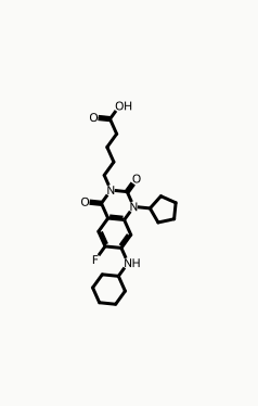 O=C(O)CCCCn1c(=O)c2cc(F)c(NC3CCCCC3)cc2n(C2CCCC2)c1=O